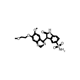 COCCOc1cc2ncnc(C3C(=O)Nc4ccc(S(N)(=O)=O)cc43)c2cc1OC